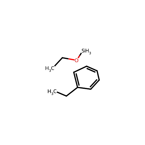 CCO[SiH3].CCc1ccccc1